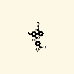 CCc1ccc(-c2ccccc2C(=O)OCOC)c(C(=O)Nc2ccc(C(=N)N)cc2)c1